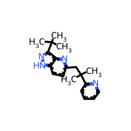 CC(C)(C)c1n[nH]c2ccc(CC(C)(C)c3ccccn3)nc12